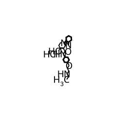 CCNCCOc1ccc(NC(=O)C2=C(O)CCn3c2nc2ccccc23)cc1.Cl